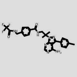 Cc1ccc(-c2nn(C(C)(C)CNC(=O)c3ccc(CNC(=O)C(F)(F)F)cc3)c3ncnc(N)c23)cc1